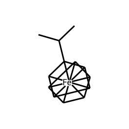 CC(C)[C]12[CH]3[CH]4[CH]5[CH]1[Fe]45321678[CH]2[CH]1[CH]6[CH]7[CH]28